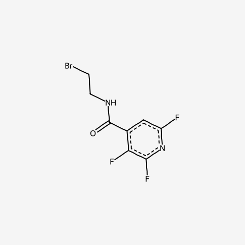 O=C(NCCBr)c1cc(F)nc(F)c1F